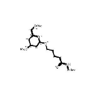 CCCCCCNC(=O)CCCCOC1CC(OC)CC(COC)O1